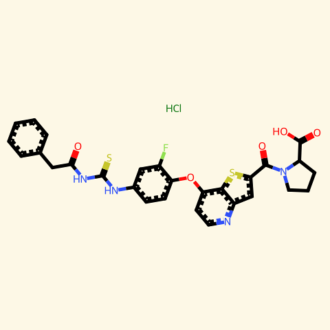 Cl.O=C(Cc1ccccc1)NC(=S)Nc1ccc(Oc2ccnc3cc(C(=O)N4CCCC4C(=O)O)sc23)c(F)c1